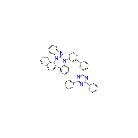 c1ccc(-c2nc(-c3ccccc3)nc(-c3cccc(-c4cccc(N5c6ccccc6-c6ccc7ccccc7c6-n6c5nc5ccccc56)c4)c3)n2)cc1